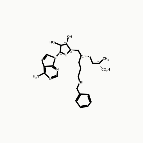 C[C@@H](CC[C@H](CCCNCc1ccccc1)C[C@H]1O[C@@H](n2cnc3c(N)ncnc32)C(O)[C@H]1O)C(=O)O